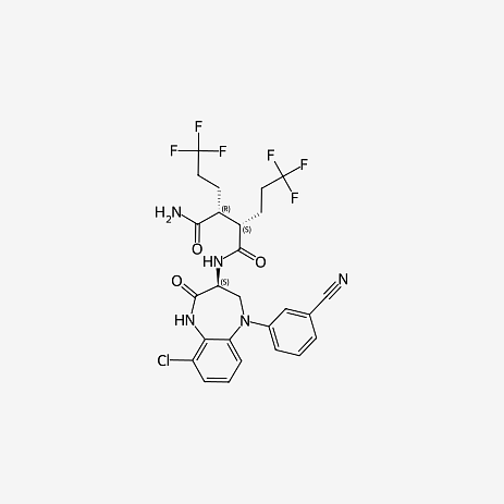 N#Cc1cccc(N2C[C@H](NC(=O)[C@@H](CCC(F)(F)F)[C@@H](CCC(F)(F)F)C(N)=O)C(=O)Nc3c(Cl)cccc32)c1